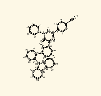 N#Cc1ccc(-c2nc(-c3ccccc3)c3oc4c(-c5ccccc5-n5c6ccccc6c6ccccc65)cccc4c3n2)cc1